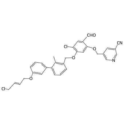 Cc1c(COc2cc(OCc3cncc(C#N)c3)c(C=O)cc2Cl)cccc1-c1cccc(OCC=CCCl)c1